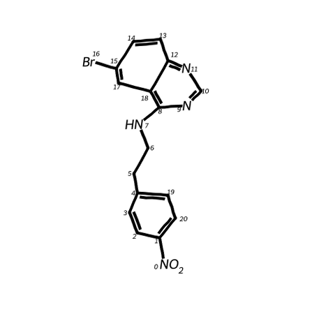 O=[N+]([O-])c1ccc(CCNc2ncnc3ccc(Br)cc23)cc1